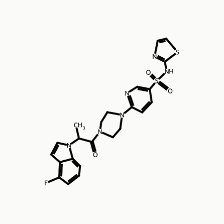 CC(C(=O)N1CCN(c2ccc(S(=O)(=O)Nc3nccs3)cn2)CC1)n1ccc2c(F)cccc21